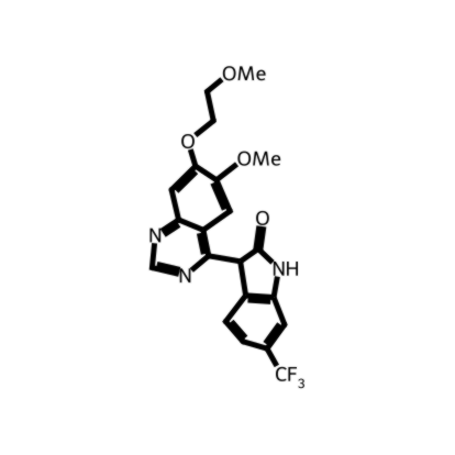 COCCOc1cc2ncnc(C3C(=O)Nc4cc(C(F)(F)F)ccc43)c2cc1OC